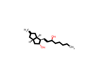 C=C1C[C@H]2C[C@@H](O)[C@H](C=C[C@@H](O)CCCCC)[C@@H]2C1